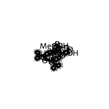 COC(=O)c1cc(NS(=O)(=O)c2ccc3ccc(C(=O)N(CCC(=O)N(OCC4c5ccccc5-c5ccccc54)c4ccc5ccc(S(=O)(=O)Nc6ccc(O)c(C(=O)OC)c6)cc5c4)OCC4c5ccccc5-c5ccccc54)cc3c2)ccc1O